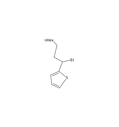 CCCCCCCCC(CC)c1cccs1